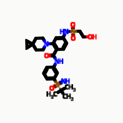 CC(C)(C)[S@](=N)(=O)c1cccc(NC(=O)c2ccc(NS(=O)(=O)CCO)cc2N2CCC3(CC2)CC3)c1